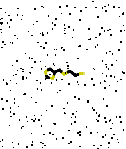 SCCSCC1CSCS1